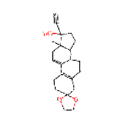 C#C[C@]1(O)CCC2C3CCC4=C(CCC5(C4)OCCO5)C3=CCC21C